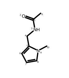 CC(=O)NCc1cccn1C